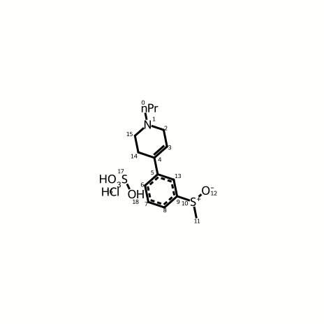 CCCN1CC=C(c2cccc([S+](C)[O-])c2)CC1.Cl.O=S(=O)(O)O